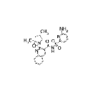 C[C@@H]1CN(c2nc3ccccc3cc2C(=O)NS(=O)(=O)c2cccc(N)n2)C(C)(C)C1